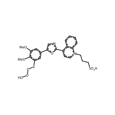 COc1cc(-c2cnc(-c3cc[n+](CCCS(=O)(=O)O)c4ccccc34)o2)cc(SOOO)c1OC